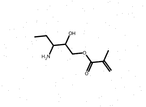 C=C(C)C(=O)OCC(O)C(N)CC